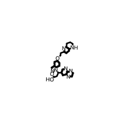 O=C(O)CC(c1cnc2nccnc2c1)n1ncc2cc(OCCc3ccc4c(n3)CCCN4)ccc21